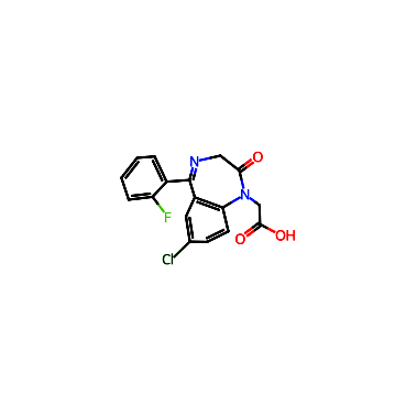 O=C(O)CN1C(=O)CN=C(c2ccccc2F)c2cc(Cl)ccc21